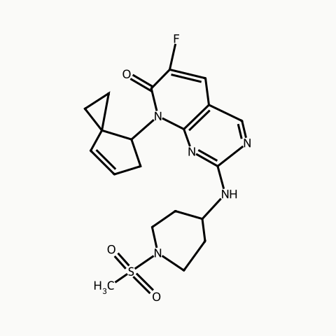 CS(=O)(=O)N1CCC(Nc2ncc3cc(F)c(=O)n(C4CC=CC45CC5)c3n2)CC1